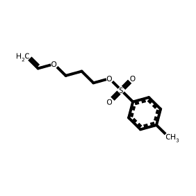 C=COCCCOS(=O)(=O)c1ccc(C)cc1